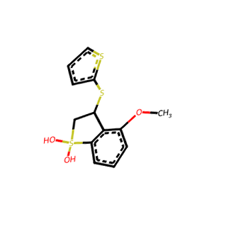 COc1cccc2c1C(Sc1cccs1)CS2(O)O